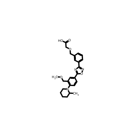 COCc1cc(-c2nc(-c3cccc(COCC(=O)O)c3)no2)ccc1N1CCCCC1C